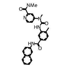 CNC(=O)c1cc(N(C)C(=O)Nc2cc(C(=O)Nc3ccc4ccccc4c3)ccc2C)ccn1